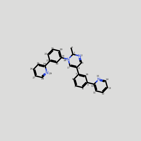 CC1N=CC(c2cccc(-c3ccccn3)c2)=CN1c1cccc(-c2ccccn2)c1